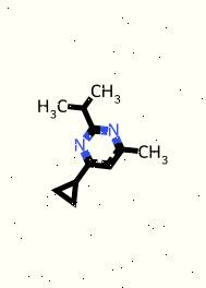 Cc1cc(C2CC2)nc(C(C)C)n1